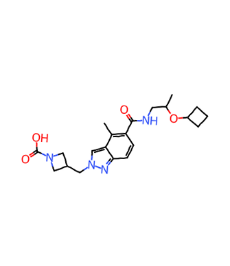 Cc1c(C(=O)NCC(C)OC2CCC2)ccc2nn(CC3CN(C(=O)O)C3)cc12